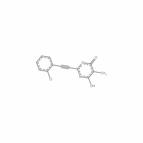 Cc1c(O)nc(C#Cc2ccccc2Cl)oc1=O